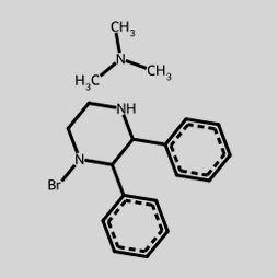 BrN1CCNC(c2ccccc2)C1c1ccccc1.CN(C)C